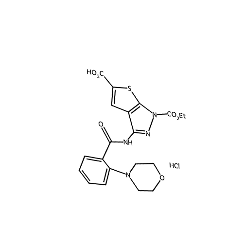 CCOC(=O)n1nc(NC(=O)c2ccccc2N2CCOCC2)c2cc(C(=O)O)sc21.Cl